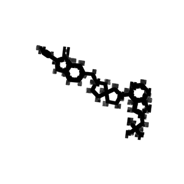 N#Cc1cc2ccc(CN3CCC4(CCN(c5ncnc6nn(CC(F)(F)F)cc56)C4)C3)cc2[nH]1